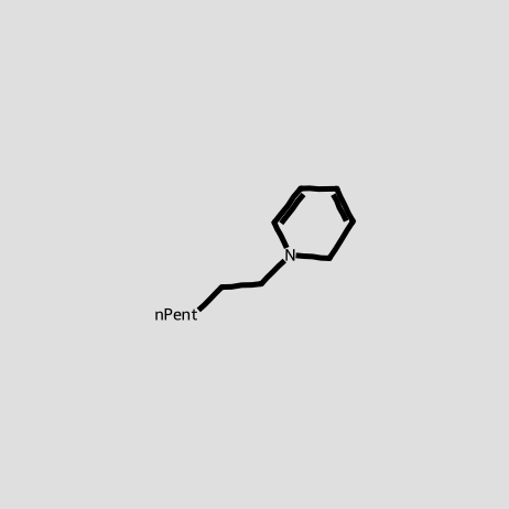 CCCCCCCN1C=CC=CC1